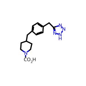 O=C(O)N1CCC(Cc2ccc(Cc3nn[nH]n3)cc2)CC1